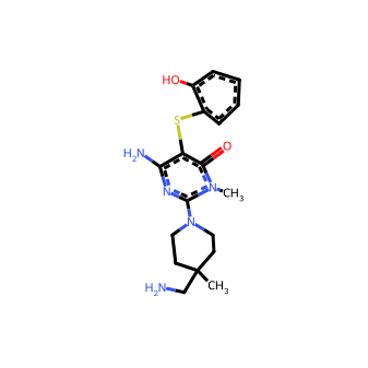 Cn1c(N2CCC(C)(CN)CC2)nc(N)c(Sc2ccccc2O)c1=O